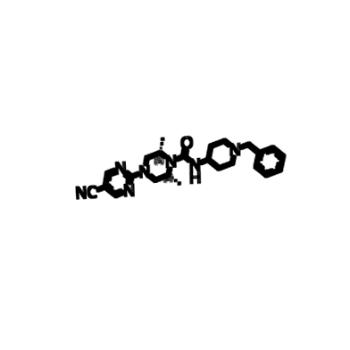 C[C@@H]1CN(c2ncc(C#N)cn2)C[C@H](C)N1C(=O)NC1CCN(Cc2ccccc2)CC1